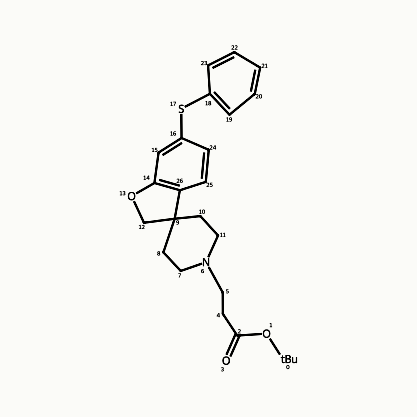 CC(C)(C)OC(=O)CCN1CCC2(CC1)COc1cc(Sc3ccccc3)ccc12